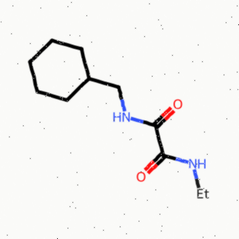 CCNC(=O)C(=O)NCC1CCCCC1